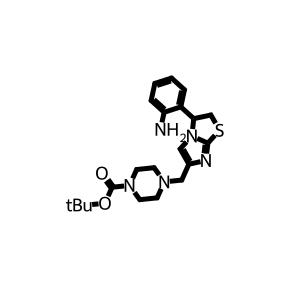 CC(C)(C)OC(=O)N1CCN(Cc2cn3c(n2)SCC3c2ccccc2N)CC1